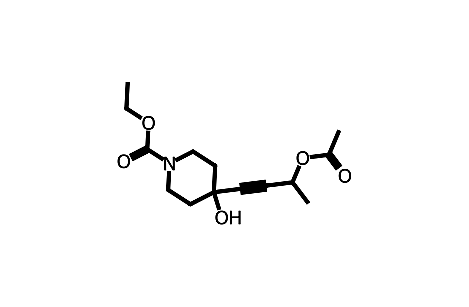 CCOC(=O)N1CCC(O)(C#CC(C)OC(C)=O)CC1